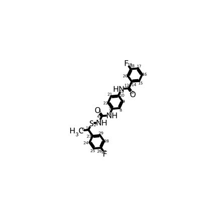 CC(SNC(=O)Nc1ccc(NC(=O)c2cccc(F)c2)cc1)c1ccc(F)cc1